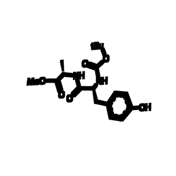 COC(=O)[C@H](C)NC(=O)[C@H](Cc1ccc(O)cc1)NC(=O)OC(C)(C)C